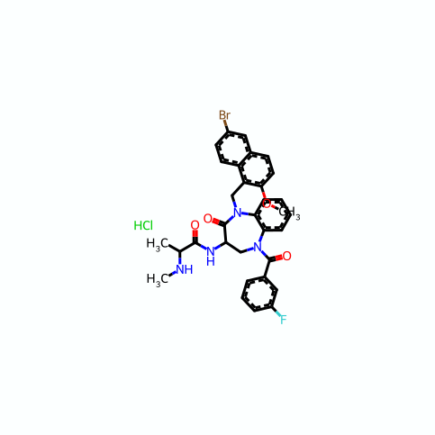 CNC(C)C(=O)NC1CN(C(=O)c2cccc(F)c2)c2ccccc2N(Cc2c(OC)ccc3cc(Br)ccc23)C1=O.Cl